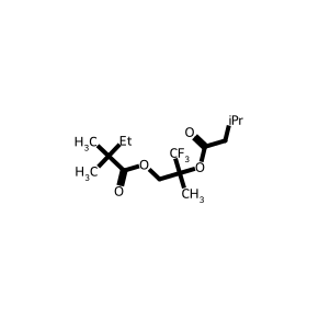 CCC(C)(C)C(=O)OCC(C)(OC(=O)CC(C)C)C(F)(F)F